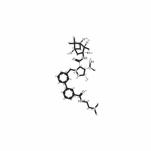 C[C@@H]1[C@@H](NC(=O)[C@@H]2[C@H]([C@H](C)O)[C@H](C)ON2Cc2cccc(-c3cccc(C(=O)NCCN(C)C)c3)c2)C[C@H]2C[C@@H]1C2(C)C